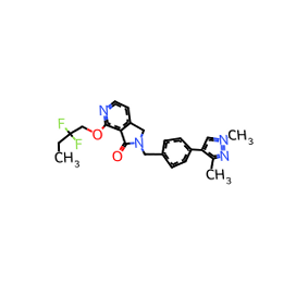 CCC(F)(F)COc1nccc2c1C(=O)N(Cc1ccc(-c3cn(C)nc3C)cc1)C2